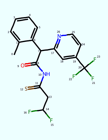 Cc1ccccc1C(C(=O)NC(=S)CC(F)F)c1cc(C(F)(F)F)ccn1